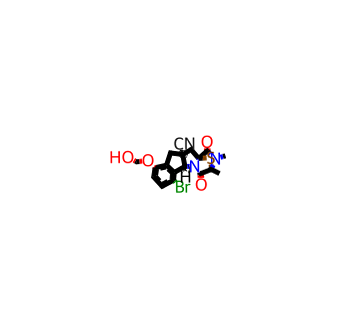 CN1C(=O)C23C[C@@]4(C#N)Cc5c(OCO)ccc(Br)c5[C@@H]4N2C(=O)C1(C)S3